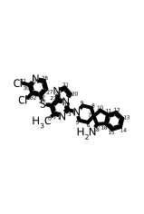 Cc1nc(N2CCC3(CC2)Cc2ccccc2C3N)n2ccnc2c1Sc1ccnc(Cl)c1Cl